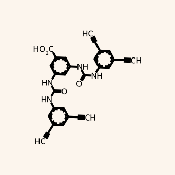 C#Cc1cc(C#C)cc(NC(=O)Nc2cc(NC(=O)Nc3cc(C#C)cc(C#C)c3)cc(C(=O)O)c2)c1